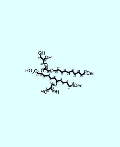 CCCCCCCCCCCCCCC(CCCCCCC(=O)O)OCC(O)CO.CCCCCCCCCCCCCCCCCCCCCC(=O)OCC(O)CO